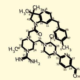 Cc1ccc(Cc2cnc3c(c2)N(C(=O)CN2C[C@@H](C)N(C(=N)N)C[C@@H]2CN2CCN(c4ccc(C=O)cn4)C[C@H]2C)CC3(C)C)cc1